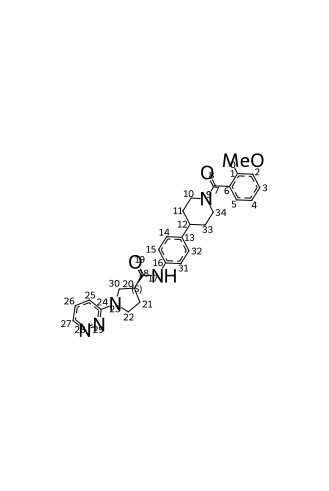 COc1ccccc1C(=O)N1CCC(c2ccc(NC(=O)[C@H]3CCN(c4cccnn4)C3)cc2)CC1